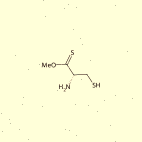 COC(=S)[C@@H](N)CS